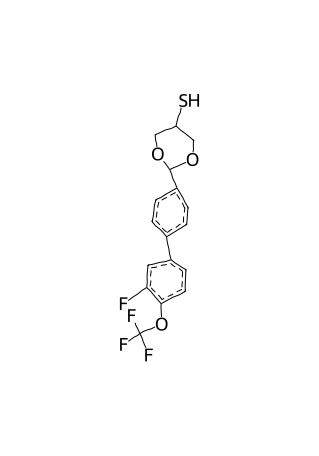 Fc1cc(-c2ccc(C3OCC(S)CO3)cc2)ccc1OC(F)(F)F